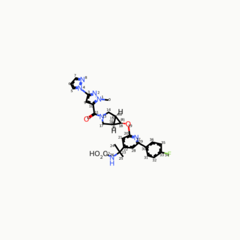 Cn1nc(-n2cccn2)cc1C(=O)N1C[C@@H]2[C@H](C1)[C@@H]2Oc1cc(C(C)(C)NC(=O)O)cc(-c2ccc(F)cc2)n1